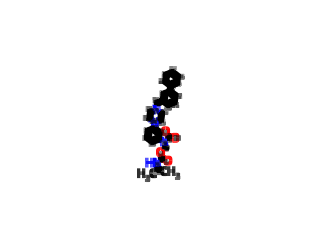 CC(C)NC(=O)OCn1c(=O)oc2c(N3CCN(Cc4cccc(C5=CC=CCC5)c4)CC3)cccc21